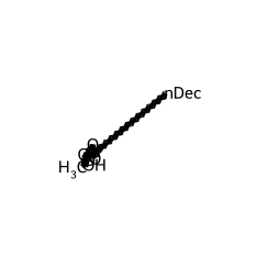 CCCCCCCCCCCCCCCCCCCCCCCCCCCCCCCCCC/C=C/N1C(=O)CC(S(=O)(=O)CC(C)O)C1=O